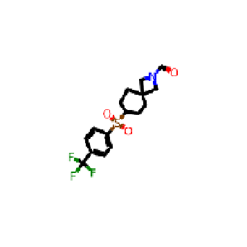 O=CN1CC2(CCC(S(=O)(=O)c3ccc(C(F)(F)F)cc3)CC2)C1